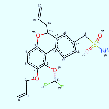 C=CCOc1ccc2c(c1OC(F)F)-c1ccc(CS(N)(=O)=O)cc1C(CC=C)O2